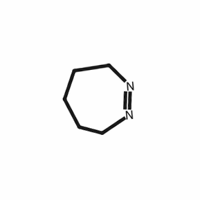 C1CCN=NCC1